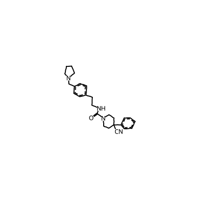 N#CC1(c2ccccc2)CCN(C(=O)NCCc2ccc(CN3CCCC3)cc2)CC1